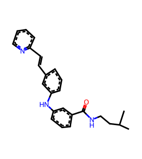 CC(C)CCNC(=O)c1cccc(Nc2cccc(C=Cc3ccccn3)c2)c1